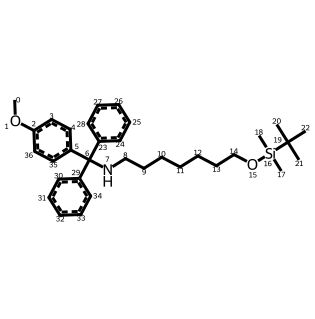 COc1ccc(C(NCCCCCCCO[Si](C)(C)C(C)(C)C)(c2ccccc2)c2ccccc2)cc1